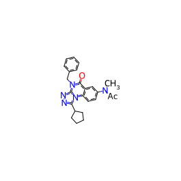 CC(=O)N(C)c1ccc2c(c1)c(=O)n(Cc1ccccc1)c1nnc(C3CCCC3)n21